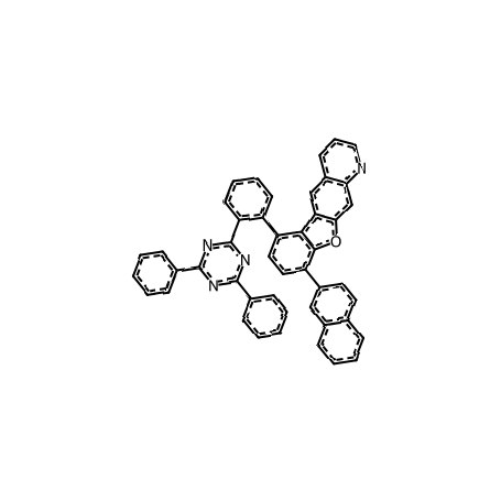 c1ccc(-c2nc(-c3ccccc3)nc(-c3ccccc3-c3ccc(-c4ccc5ccccc5c4)c4oc5cc6ncccc6cc5c34)n2)cc1